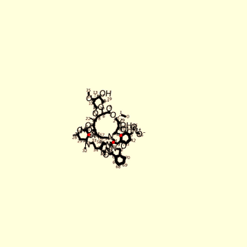 CC[C@H]1OC(=O)[C@H](C)[C@@H](O[C@H]2C[C@@](C)(OC)[C@@H](O)[C@H](C)O2)[C@H](C)[C@@H](O[C@@H]2O[C@H](C)C[C@H](N(C)CCc3cn(CCc4ccc([N+](=O)[O-])cc4)nn3)[C@H]2O)[C@](C)(O)C[C@@H](C)CN(CCN2C(=O)c3ccccc3C2=O)[C@H](C)[C@@H](O)[C@]1(C)O